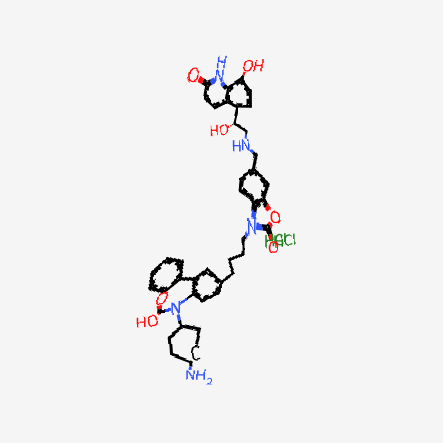 Cl.Cl.NC1CCC(N(C(=O)O)c2ccc(CCCCn3c(=O)oc4cc(CNC[C@H](O)c5ccc(O)c6[nH]c(=O)ccc56)ccc43)cc2-c2ccccc2)CC1